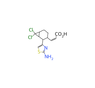 Nc1nc(C2C(/C=C\C(=O)O)CCC3C2C3(Cl)Cl)cs1